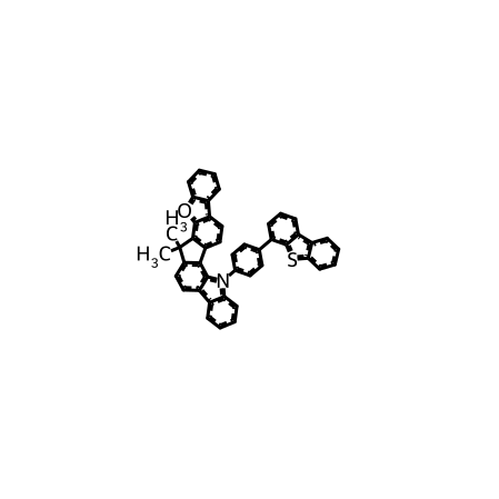 CC1(C)c2ccc3c4ccccc4n(-c4ccc(-c5cccc6c5sc5ccccc56)cc4)c3c2-c2ccc3c(oc4ccccc43)c21